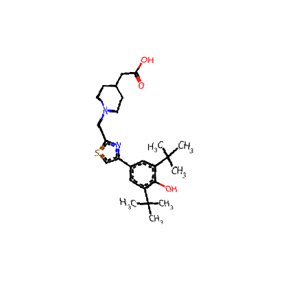 CC(C)(C)c1cc(-c2csc(CN3CCC(CC(=O)O)CC3)n2)cc(C(C)(C)C)c1O